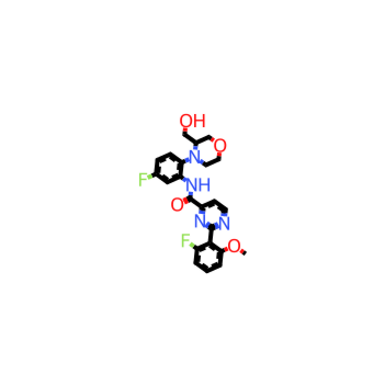 COc1cccc(F)c1-c1nccc(C(=O)Nc2cc(F)ccc2N2CCOCC2CO)n1